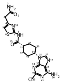 NC(=O)Cc1csc(NC(=O)[C@H]2CC[C@@H](n3cnc4c(N)nc(Cl)nc43)CC2)n1